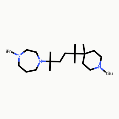 CC(C)N1CCCN(C(C)(C)CCC(C)(C)C2(C)CCN(C(C)(C)C)CC2)CC1